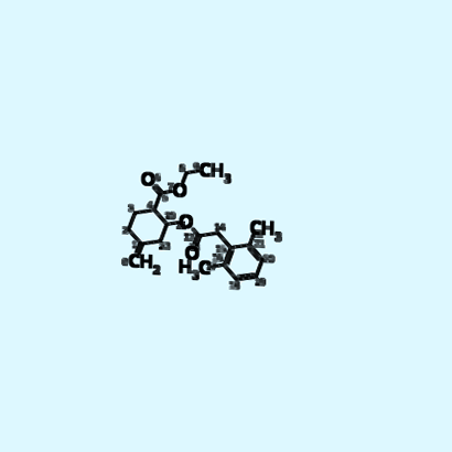 C=C1CCC(C(=O)OCC)C(OC(=O)Cc2c(C)cccc2C)C1